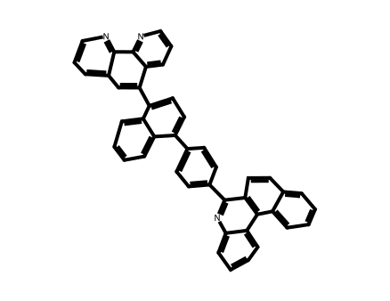 c1ccc2c(c1)ccc1c(-c3ccc(-c4ccc(-c5cc6cccnc6c6ncccc56)c5ccccc45)cc3)nc3ccccc3c12